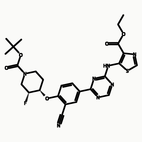 CCOC(=O)c1ncsc1Nc1ncnc(-c2ccc(O[C@H]3CCN(C(=O)OC(C)(C)C)C[C@H]3F)c(C#N)c2)n1